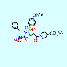 CCOC(=O)C1CCN(C(=O)CCN(C(CCc2ccccc2)C(=O)NO)S(=O)(=O)c2ccc(OC)cc2)CC1